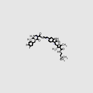 C=CN(Cc1ccc(F)c(F)c1)C(=O)/C(=C\N)C(=O)NC/C=C/c1ccc2c(c1)NC(=O)/C2=C\c1[nH]c(C)c(C(=O)NCCN(C)C)c1C